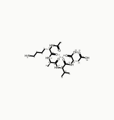 CC(=O)N[C@@H](CCCCN)C(=O)N[C@H](C)C(=O)N[C@@H](C(=O)N[C@@H](CC(=O)O)C(=O)O)C(C)C